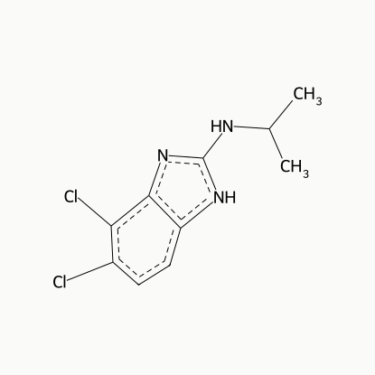 CC(C)Nc1nc2c(Cl)c(Cl)ccc2[nH]1